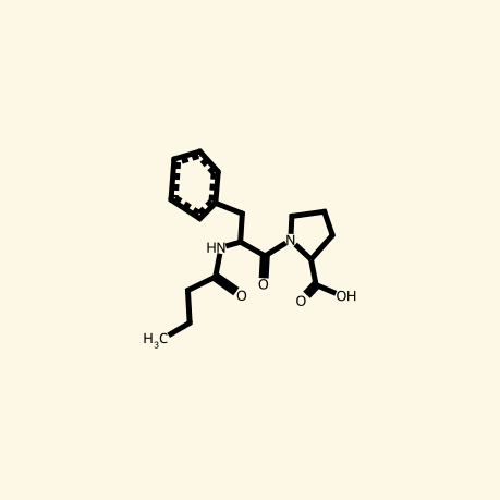 CCCC(=O)NC(Cc1ccccc1)C(=O)N1CCCC1C(=O)O